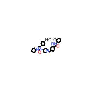 O=C(N[C@@H]1CCCC[C@H]1C(=O)O)c1ccc(CN2CCC(N3C(=O)N(C4CCCCC4)C[C@H]3c3ccccc3)CC2)cc1